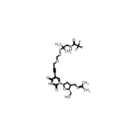 CC(C)=NCC1C[C@H](n2cc(C#CCOCSSC(C)(C)CNC(=O)C(F)(F)F)c(=O)[nH]c2=O)O[C@@H]1CO